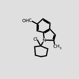 Cc1cc2ccc(C=O)cc2n1C1(Cl)CCCCC1